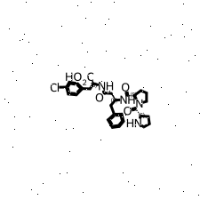 O=C(C[C@H](Cc1ccccc1)NC(=O)[C@@H]1CCCN1C(=O)[C@@H]1CCCN1)N[C@@H](Cc1ccc(Cl)cc1)C(=O)O